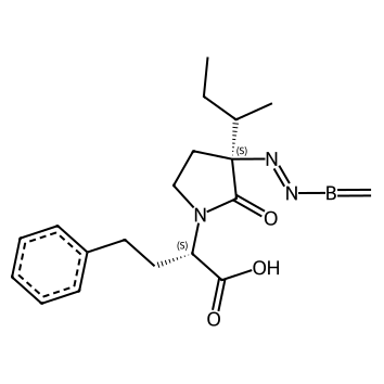 C=BN=N[C@]1(C(C)CC)CCN([C@@H](CCc2ccccc2)C(=O)O)C1=O